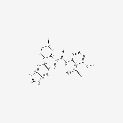 COc1nccc(NC(=O)C(=O)N2C[C@H](C)CC[C@H]2c2ccc3scnc3c2)c1C(N)=O